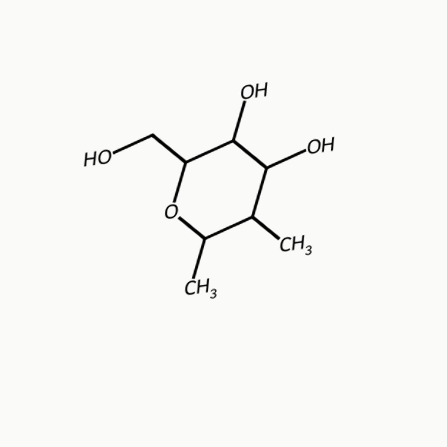 CC1OC(CO)C(O)C(O)C1C